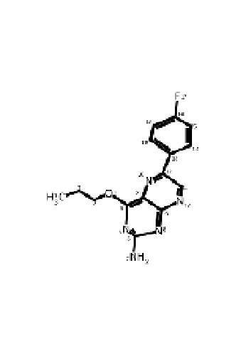 CCCOc1nc(N)nc2ncc(-c3ccc(F)cc3)nc12